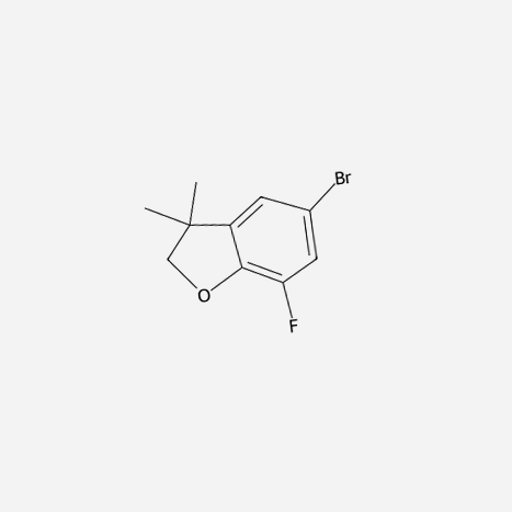 CC1(C)COc2c(F)cc(Br)cc21